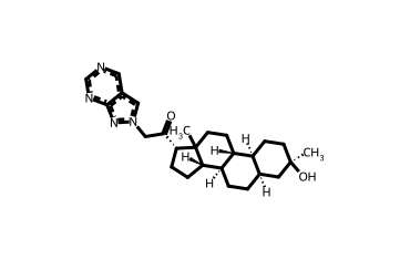 CC12CC[C@H]3[C@@H](CC[C@@H]4C[C@](C)(O)CC[C@@H]43)[C@@H]1CC[C@@H]2C(=O)Cn1cc2cncnc2n1